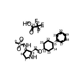 CS(=O)(=O)N[C@@H]1CCN[C@@H]1CO[C@H]1CC[C@@H](c2ccccc2)CC1.O=C(O)C(F)(F)F